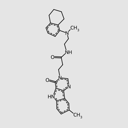 Cc1ccc2[nH]c3c(=O)n(CCC(=O)NCCN(C)c4cccc5c4CCCC5)cnc3c2c1